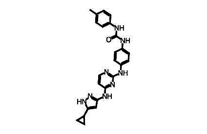 Cc1ccc(NC(=O)Nc2ccc(Nc3nccc(Nc4cc(C5CC5)[nH]n4)n3)cc2)cc1